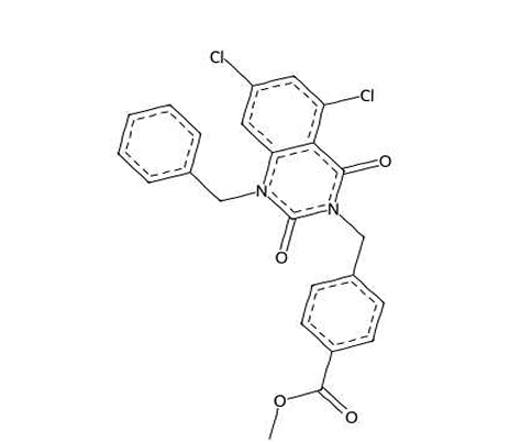 COC(=O)c1ccc(Cn2c(=O)c3c(Cl)cc(Cl)cc3n(Cc3ccccc3)c2=O)cc1